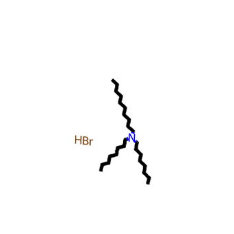 Br.CCCCCCCCCCN(CCCCCCCC)CCCCCCCC